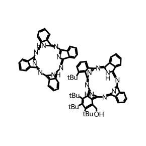 CC(C)(C)c1cccc2c1-c1nc-2nc2[nH]c(nc3nc(nc4[nH]c(n1)c1c(C(C)(C)C)c(C(C)(C)C)c(C(C)(C)C)c(CO)c41)-c1ccccc1-3)c1ccccc21.c1ccc2c(c1)-c1nc-2nc2[nH]c(nc3nc(nc4[nH]c(n1)c1ccccc41)-c1ccccc1-3)c1ccccc21